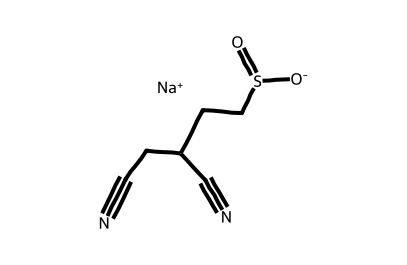 N#CCC(C#N)CCS(=O)[O-].[Na+]